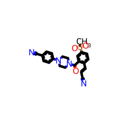 CS(=O)(=O)c1ccc(/C=C/C#N)c(C(=O)N2CCN(c3ccc(C#N)cc3)CC2)c1